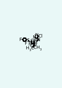 CC1(C)O[C@@H]2[C@@H](O1)[C@@H](CSc1ccc(F)cc1F)O[C@H]2n1cnc2c(Cl)ncnc21